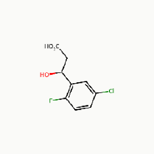 O=C(O)C[C@H](O)c1cc(Cl)ccc1F